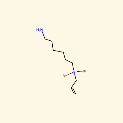 C=CC[N+](Br)(Br)CCCCCCN